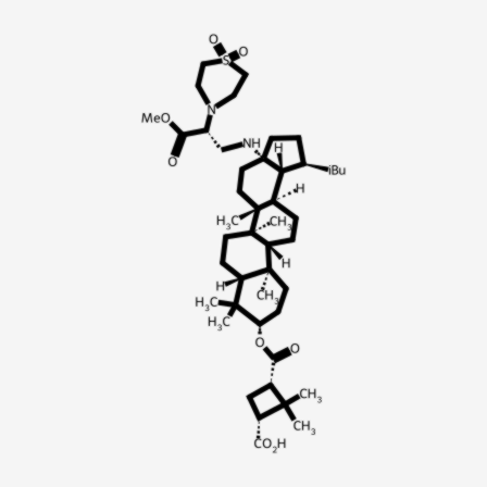 CCC(C)[C@@H]1CC[C@]2(NC[C@H](C(=O)OC)N3CCS(=O)(=O)CC3)CC[C@]3(C)[C@H](CC[C@@H]4[C@@]5(C)CC[C@H](OC(=O)[C@H]6C[C@@H](C(=O)O)C6(C)C)C(C)(C)[C@@H]5CC[C@]43C)[C@@H]12